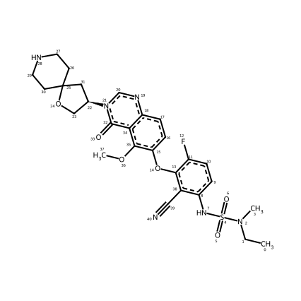 CCN(C)S(=O)(=O)Nc1ccc(F)c(Oc2ccc3ncn([C@H]4COC5(CCNCC5)C4)c(=O)c3c2OC)c1C#N